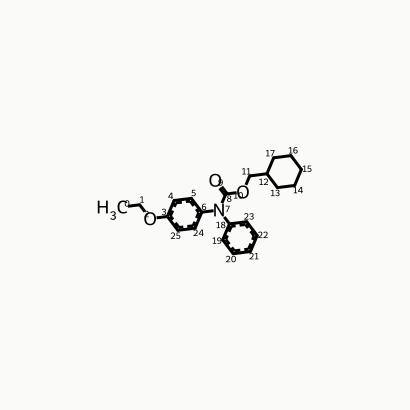 CCOc1ccc(N(C(=O)OCC2CCCCC2)c2ccccc2)cc1